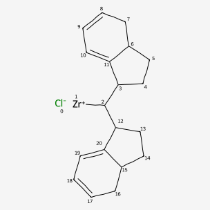 [Cl-].[Zr+][CH](C1CCC2CC=CC=C21)C1CCC2CC=CC=C21